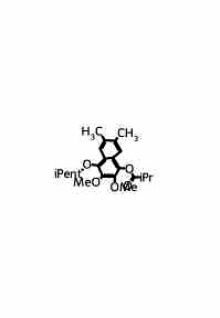 CCCC(C)Oc1c(OC)c(OC)c(OC(=O)C(C)C)c2cc(C)c(C)cc12